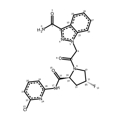 NC(=O)c1nn(CC(=O)N2C[C@H](F)C[C@H]2C(=O)Nc2cccc(Cl)n2)c2ccccc12